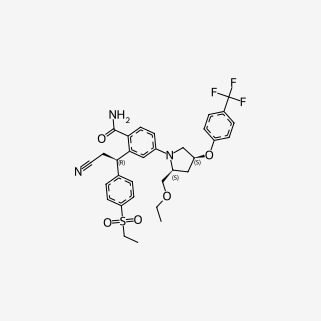 CCOC[C@@H]1C[C@H](Oc2ccc(C(F)(F)F)cc2)CN1c1ccc(C(N)=O)c([C@H](CC#N)c2ccc(S(=O)(=O)CC)cc2)c1